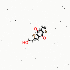 O=C1c2cc(CCO)sc2C(=O)c2ccsc21